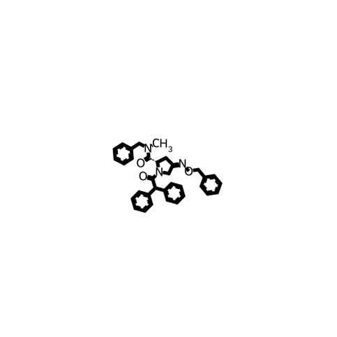 CN(Cc1ccccc1)C(=O)[C@@H]1CC(=NOCc2ccccc2)CN1C(=O)C(c1ccccc1)c1ccccc1